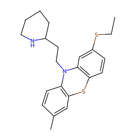 CCSc1ccc2c(c1)N(CCC1CCCCN1)c1ccc(C)cc1S2